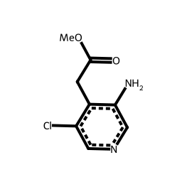 COC(=O)Cc1c(N)cncc1Cl